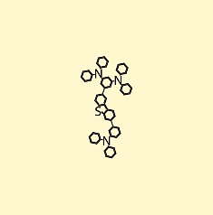 c1ccc(N(c2ccccc2)c2cccc(-c3ccc4c(c3)sc3ccc(-c5cc(N(c6ccccc6)c6ccccc6)cc(N(c6ccccc6)c6ccccc6)c5)cc34)c2)cc1